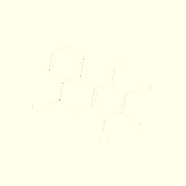 Cc1c(O)c(C)c2c(c1O)-c1ccccc1C(C)O2